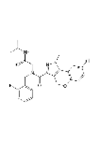 CC(C)NC(=O)CN(Cc1ccccc1F)C(=O)c1nn(C)c2c1COc1ccc(Cl)cc1-2